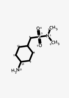 CN(C)S(=O)(=O)CC1CCC(N)CC1